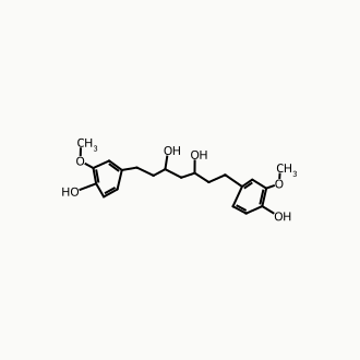 COc1cc(CCC(O)CC(O)CCc2ccc(O)c(OC)c2)ccc1O